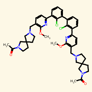 COc1nc(-c2cccc(-c3cccc(-c4ccc(CN5CCC6(CCN(C(C)=O)C6)C5)c(OC)n4)c3Cl)c2Cl)ccc1CN1CCC2(CCN(C(C)=O)C2)C1